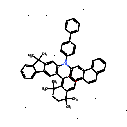 CC1(C)CCC(C)(C)c2c(-c3cc4c(cc3N(c3ccc(-c5ccccc5)cc3)c3ccc5ccc6ccccc6c5c3)C(C)(C)c3ccccc3-4)cccc21